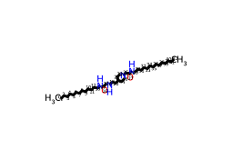 CCCCCCCCCCCCCCNC(=O)CNCCC1CCN(CC(=O)NCCCCCCCCCCCCCC)CC1